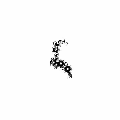 C=CC(=O)N1CC[C@@H](CCOc2ncnc(N)c2-c2ccc(Oc3ccc(C#N)cc3)cc2)C1